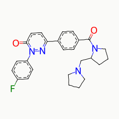 O=C(c1ccc(-c2ccc(=O)n(-c3ccc(F)cc3)n2)cc1)N1CCCC1CN1CCCC1